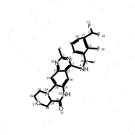 Cc1nc(N[C@H](C)c2cccc(C(F)F)c2F)c2cc3c(cc2n1)N1CCOCC1C(=O)N3